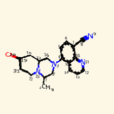 CC1CN(c2ccc(C#N)c3ncccc23)CC2CC(=O)CCN12